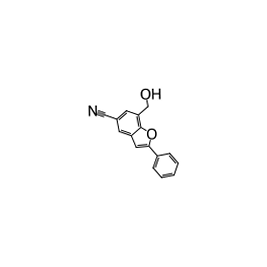 N#Cc1cc(CO)c2oc(-c3ccccc3)cc2c1